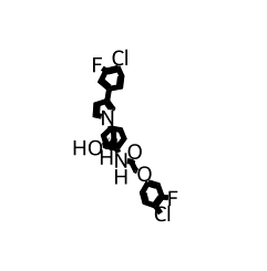 O=C(COc1ccc(Cl)c(F)c1)NC12CCC(n3ccc(-c4ccc(Cl)c(F)c4)c3)(CC1)C[C@@H]2O